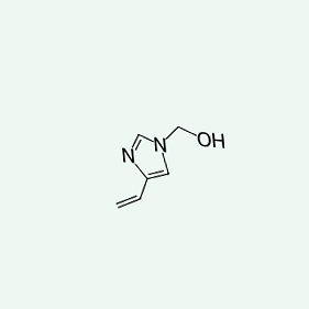 C=Cc1cn(CO)cn1